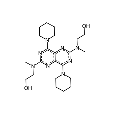 CN(CCO)c1nc(N2CCCCC2)c2nc(N(C)CCO)nc(N3CCCCC3)c2n1